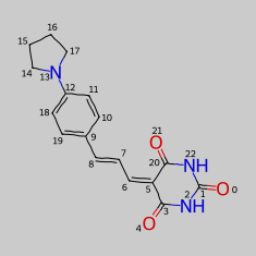 O=C1NC(=O)C(=C/C=C/c2ccc(N3CCCC3)cc2)C(=O)N1